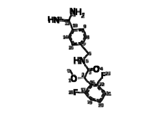 CO[C@H](C(=O)NCc1ccc(C(=N)N)cc1)c1c(F)cccc1F